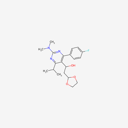 CC(C)c1nc(N(C)C)nc(-c2ccc(F)cc2)c1C(O)CC1OCCO1